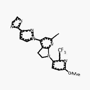 COc1ccc(N2CCc3c(-n4ccc(-c5nccs5)n4)cc(C)nc32)c(C(F)(F)F)n1